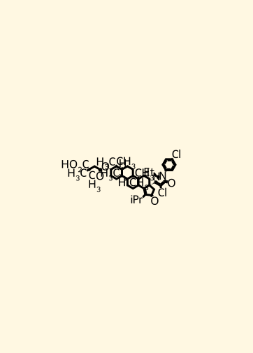 CCn1c([C@@]23CC[C@]4(C)C(CC[C@@H]5[C@@]6(C)CC[C@H](OC(=O)CC(C)(C)C(=O)O)C(C)(C)[C@@H]6CC[C@]54C)C2=C(C(C)C)C(=O)C3)c(Cl)c(=O)n1-c1ccc(Cl)cc1